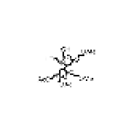 COCCOC(=O)CC(C(CN(CCOC(C)=O)CCOC(C)=O)C(=O)OCCOC)N(CCO)CCO